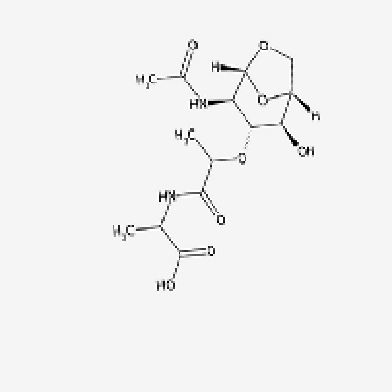 CC(=O)N[C@H]1[C@@H]2OC[C@@H](O2)[C@@H](O)[C@@H]1OC(C)C(=O)NC(C)C(=O)O